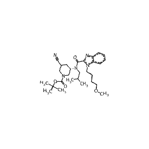 COCCCCn1c(C(=O)N(CC(C)C)[C@H]2CC(C#N)CN(C(=O)OC(C)(C)C)C2)nc2ccccc21